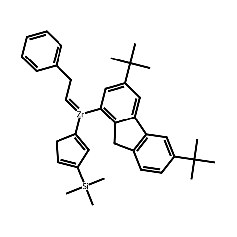 CC(C)(C)c1ccc2c(c1)-c1cc(C(C)(C)C)c[c](/[Zr](=[CH]\Cc3ccccc3)[C]3=CC([Si](C)(C)C)=CC3)c1C2